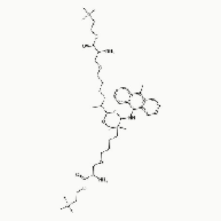 Cc1c2ccccc2c(NC2OC(C(C)CCCCOCC(N)C(=O)OCC[Si](C)(C)C)OOC2(C)CCCCOCC(N)C(=O)OCC[Si](C)(C)C)c2ccccc12